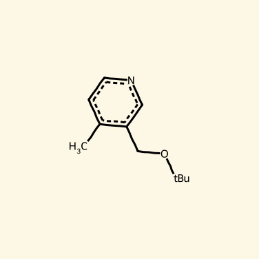 Cc1ccncc1COC(C)(C)C